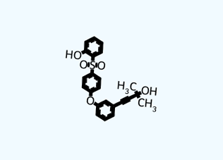 CC(C)(O)C#Cc1cccc(Oc2ccc(S(=O)(=O)c3ccccc3O)cc2)c1